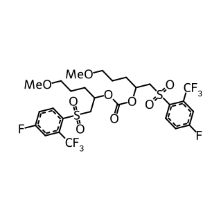 COCCCC(CS(=O)(=O)c1ccc(F)cc1C(F)(F)F)OC(=O)OC(CCCOC)CS(=O)(=O)c1ccc(F)cc1C(F)(F)F